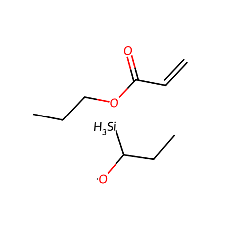 C=CC(=O)OCCC.CCC([O])[SiH3]